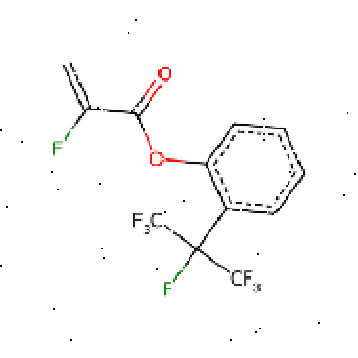 C=C(F)C(=O)Oc1ccccc1C(F)(C(F)(F)F)C(F)(F)F